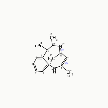 CCCC1c2ccccc2N/C(C(F)(F)F)=C\C(C(F)(F)F)=N\C1C